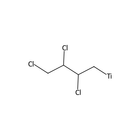 ClCC(Cl)C(Cl)[CH2][Ti]